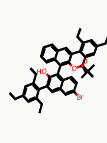 CCc1cc(CC)c(-c2cc3cc(Br)ccc3c(-c3c(OC(=O)C(C)(C)C)c(-c4c(CC)cc(CC)cc4CC)cc4ccccc34)c2O)c(CC)c1